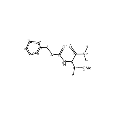 CO[C@H](C)[C@@H](NC(=O)OCc1ccccc1)C(=O)N(C)C